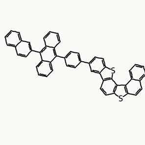 c1ccc2cc(-c3c4ccccc4c(-c4ccc(-c5ccc6sc7c(ccc8sc9ccc%10ccccc%10c9c87)c6c5)cc4)c4ccccc34)ccc2c1